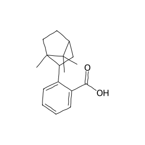 CC1(C)C2CCC1(C)C(c1ccccc1C(=O)O)C2